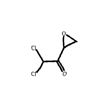 O=C(C(Cl)Cl)C1CO1